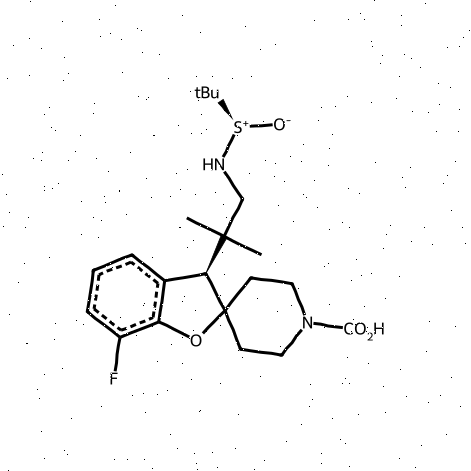 CC(C)(CN[S@+]([O-])C(C)(C)C)[C@@H]1c2cccc(F)c2OC12CCN(C(=O)O)CC2